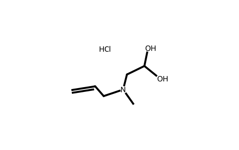 C=CCN(C)CC(O)O.Cl